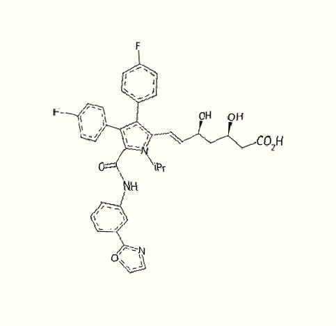 CC(C)n1c(C=C[C@@H](O)C[C@@H](O)CC(=O)O)c(-c2ccc(F)cc2)c(-c2ccc(F)cc2)c1C(=O)Nc1cccc(-c2ncco2)c1